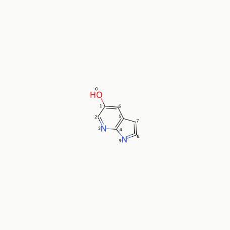 Oc1cnc2c(c1)C=C=N2